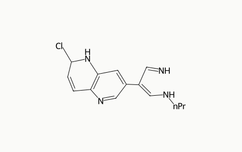 CCCN/C=C(\C=N)c1cnc2c(c1)NC(Cl)C=C2